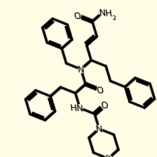 NC(=O)C=CC(CCc1ccccc1)N(Cc1ccccc1)C(=O)C(Cc1ccccc1)NC(=O)N1CCOCC1